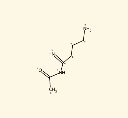 CC(=O)NC(=N)CCCN